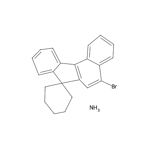 Brc1cc2c(c3ccccc13)-c1ccccc1C21CCCCC1.N